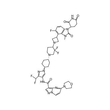 Cn1c(=O)n(C2CCC(=O)NC2=O)c2ccc(F)c(C3CN(C4CCN([C@H]5CC[C@H](n6cc(NC(=O)c7cnn8ccc(N9CCOCC9)nc78)c(C(F)F)n6)CC5)CC4(F)F)C3)c21